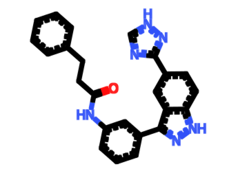 O=C(CCc1ccccc1)Nc1cccc(-c2n[nH]c3ccc(-c4nc[nH]n4)cc23)c1